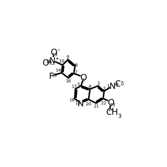 [C-]#[N+]c1cc2c(Oc3ccc([N+](=O)[O-])c(F)c3)ccnc2cc1OC